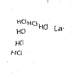 Cl.Cl.Cl.Cl.Cl.Cl.[La]